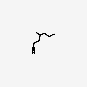 CCCC(C)CCC#N